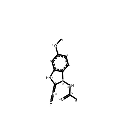 COc1ccc2c(c1)NC(=C=O)N2NC(C)=O